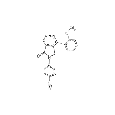 COc1ccccc1-c1nccc2c1CN(c1ccc(C#N)cc1)C2=O